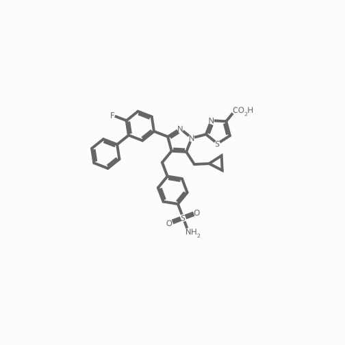 NS(=O)(=O)c1ccc(Cc2c(-c3ccc(F)c(-c4ccccc4)c3)nn(-c3nc(C(=O)O)cs3)c2CC2CC2)cc1